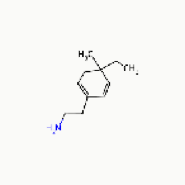 CCC1(C)C=CC(CCN)=CC1